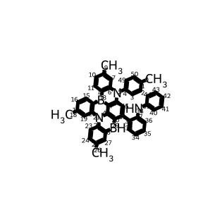 Cc1ccc(N2c3cc(C)ccc3B3c4ccc(C)cc4N4c5ccc(C)cc5Bc5c(-c6ccccc6Nc6ccccc6)cc2c3c54)cc1